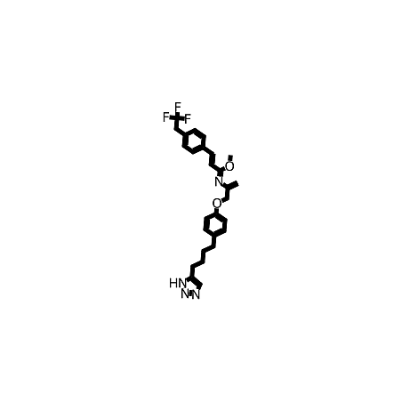 C=C(COc1ccc(CCCCc2cnn[nH]2)cc1)/N=C(/C=C/c1ccc(CC(F)(F)F)cc1)OC